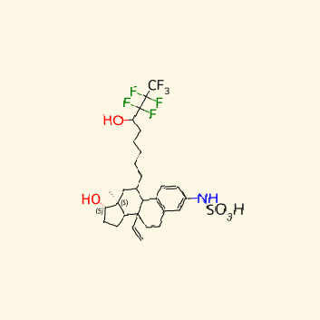 C=CC12CCc3cc(NS(=O)(=O)O)ccc3C1C(CCCCCC(O)C(F)(F)C(F)(F)C(F)(F)F)C[C@@]1(C)C2CC[C@@H]1O